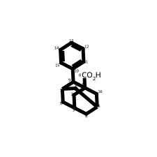 O=C(O)C12CC3CC(CC(C3)C1c1ccccc1)C2